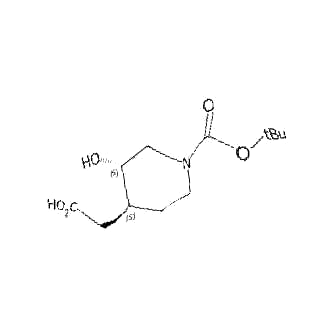 CC(C)(C)OC(=O)N1CC[C@@H](CC(=O)O)[C@H](O)C1